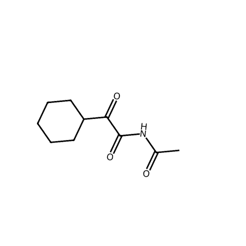 CC(=O)NC(=O)C(=O)C1CCCCC1